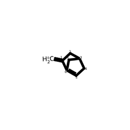 C=C1CC2CC=C1C2